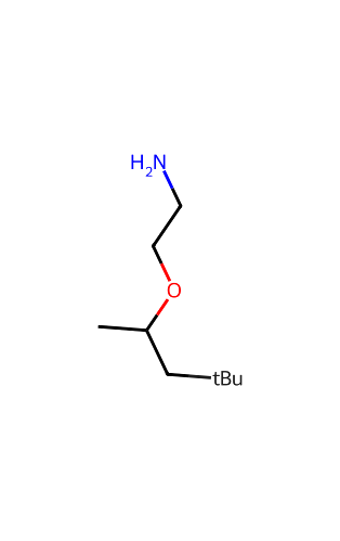 CC(CC(C)(C)C)OCCN